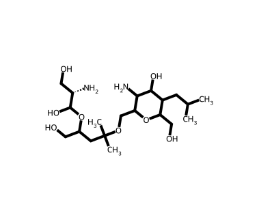 CC(C)CC1C(CO)OC(COC(C)(C)CC(CO)OC(O)[C@@H](N)CO)C(N)C1O